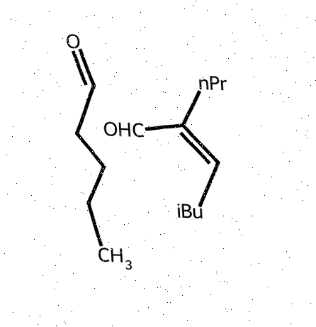 CCCC(C=O)=CC(C)CC.CCCCC=O